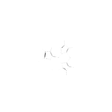 CCc1cn(Cc2[nH]c(C(=O)O)c(C)c2CC)c(Cc2[nH]c(C(=O)O)c(C)c2CC)c1CC